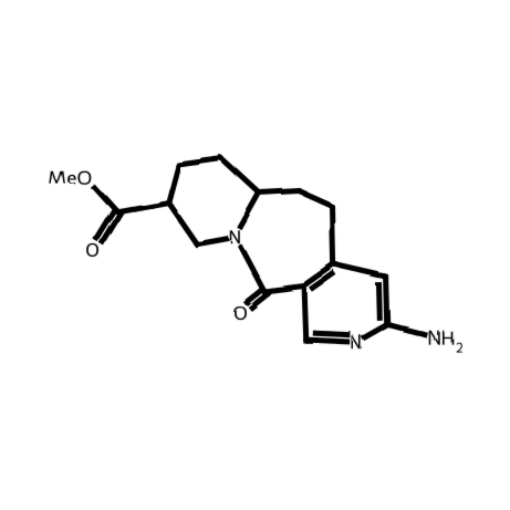 COC(=O)C1CCC2CCc3cc(N)ncc3C(=O)N2C1